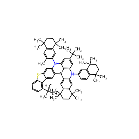 Cc1cc2c(cc1N1c3cc4sc5cccc(C(C)(C)C)c5c4cc3B3c4cc5c(cc4N(c4ccc6c(c4)C(C)(C)CCC6(C)C)c4cc(C(C)(C)C)cc1c43)C(C)(C)CCC5(C)C)C(C)(C)CCC2(C)C